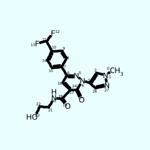 Cn1cc(-n2nc(-c3ccc(C(F)F)cc3)cc(C(=O)NCCO)c2=O)cn1